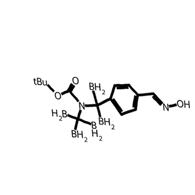 BC(B)(B)N(C(=O)OC(C)(C)C)C(B)(B)c1ccc(/C=N/O)cc1